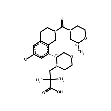 C[C@@H]1CN(C(=O)N2CCc3cc(Cl)cc([C@@H]4COCCN4CC(C)(C)C(=O)O)c3C2)CCO1